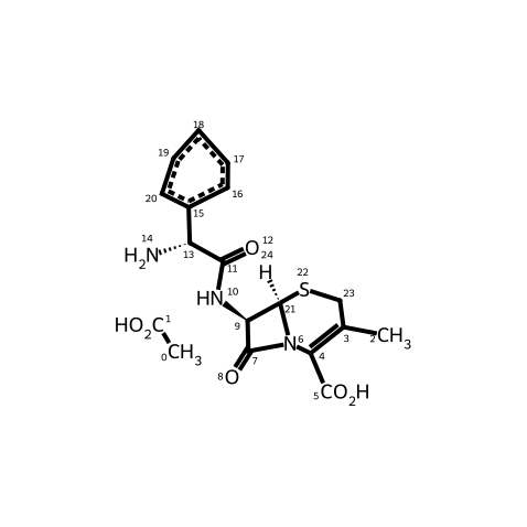 CC(=O)O.CC1=C(C(=O)O)N2C(=O)[C@@H](NC(=O)[C@H](N)c3ccccc3)[C@H]2SC1